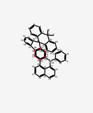 CC1(C)c2ccccc2C2(c3ccccc3-c3cc(-c4cccc5cccc(N(c6ccccc6)c6ccccc6)c45)ccc32)c2ccccc21